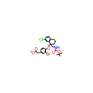 COC(=O)Cc1ccc(OCC2(CNC(=O)OC(C)(C)C)CCCc3ccc(Cl)cc32)c(Br)c1